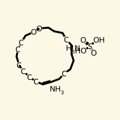 C1=CCCCCCCCCOOCCCCCCCCCC1.N.N.O=S(=O)(O)O